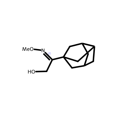 CO/N=C(\CO)C12CC3CC(C1)C(C3)C2